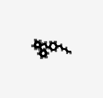 CCCCCC1CCC(CCc2ccccc2-c2ccccc2)CC1